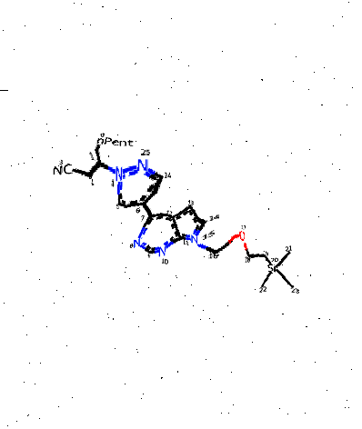 CCCCCC(CC#N)n1cc(-c2ncnc3c2ccn3COCC[Si](C)(C)C)cn1